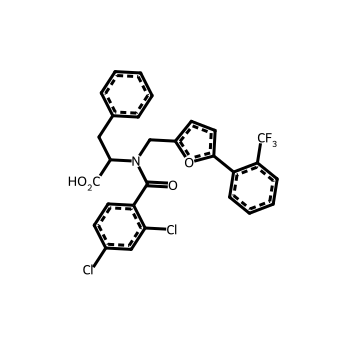 O=C(O)C(Cc1ccccc1)N(Cc1ccc(-c2ccccc2C(F)(F)F)o1)C(=O)c1ccc(Cl)cc1Cl